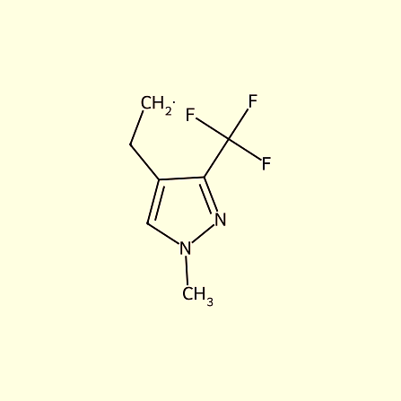 [CH2]Cc1cn(C)nc1C(F)(F)F